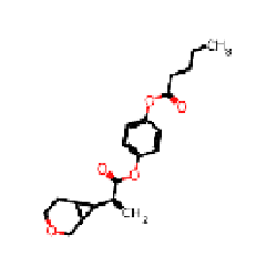 C=C(C(=O)Oc1ccc(OC(=O)CCCC)cc1)C1C2CCOCC21